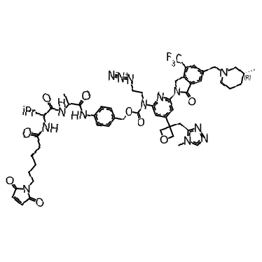 CC(NC(=O)C(NC(=O)CCCCCN1C(=O)C=CC1=O)C(C)C)C(=O)Nc1ccc(COC(=O)N(CCN=[N+]=[N-])c2cc(C3(Cc4nncn4C)COC3)cc(N3Cc4c(cc(CN5CCC[C@@H](C)C5)cc4C(F)(F)F)C3=O)n2)cc1